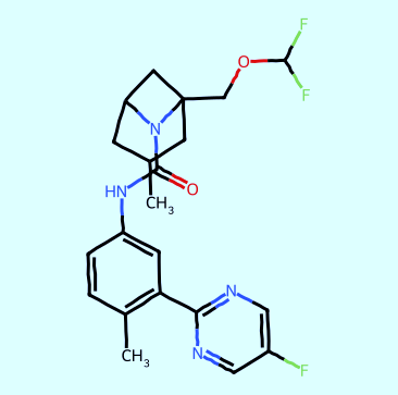 Cc1ccc(NC(=O)N2C3CC(C)CC2(COC(F)F)C3)cc1-c1ncc(F)cn1